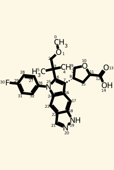 COCC(C)(C)c1c([C@@H]2COC(C(=O)O)C2)c2cc3[nH]ncc3cc2n1-c1ccc(F)cc1